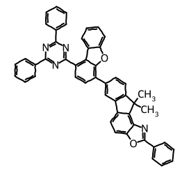 CC1(C)c2ccc(-c3ccc(-c4nc(-c5ccccc5)nc(-c5ccccc5)n4)c4c3oc3ccccc34)cc2-c2ccc3oc(-c4ccccc4)nc3c21